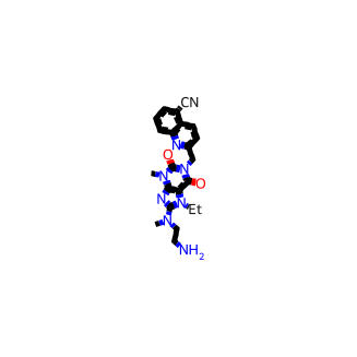 CCn1c(N(C)CCN)nc2c1c(=O)n(Cc1ccc3c(C#N)cccc3n1)c(=O)n2C